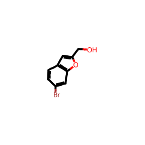 OCc1cc2ccc(Br)cc2o1